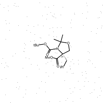 COC(=O)[C@]1(CC(C)C)COC(C)(C)N1C(=O)OC(C)(C)C